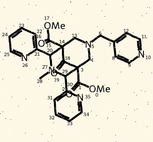 COC(=O)C12CN(Cc3ccncc3)CC(C(=O)OC)(C1=O)C(c1ccccn1)N(C)C2c1ccccn1